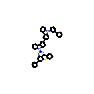 c1ccc(-c2cccc(-n3c4ccccc4c4cc(-c5ccc6c(c5)c5ccccc5n6-c5nc6c7c(cc(-c8ccccc8)cc7n5)Sc5ccccc5-6)ccc43)c2)cc1